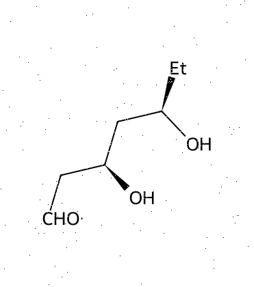 CC[C@@H](O)C[C@@H](O)C[C]=O